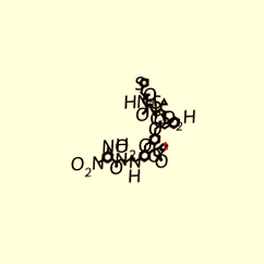 O=C(Cc1cccs1)NC1C(=O)N2C(C(=O)O)=C(CSc3ccccc3CC(=O)Oc3ccc4c(c3)Oc3cc(NCCNC(=O)c5cc([N+](=O)[O-])cc([N+](=O)[O-])c5)ccc3C43OC(=O)c4ccccc43)C3(CC3)S[C@H]12